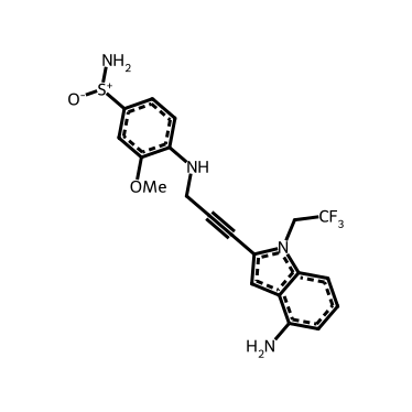 COc1cc([S+](N)[O-])ccc1NCC#Cc1cc2c(N)cccc2n1CC(F)(F)F